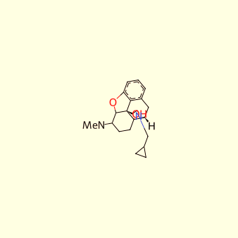 CNC1CC[C@@]2(O)[C@H]3Cc4cccc5c4[C@@]2(CCN3CC2CC2)C1O5